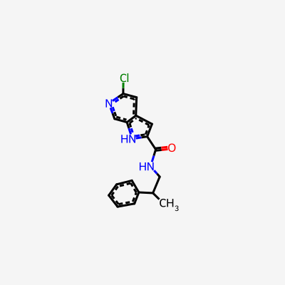 CC(CNC(=O)c1cc2cc(Cl)ncc2[nH]1)c1ccccc1